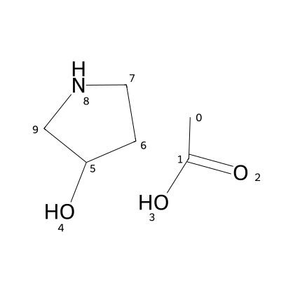 CC(=O)O.OC1CCNC1